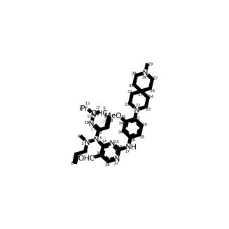 C=CCN(C)N(C(/C=C\C=O)=N/N(C)C(C)C)c1nc(Nc2ccc(N3CCC4(CCN(C)CC4)CC3)c(OC)c2)ncc1C=O